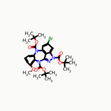 COc1cccc2c1N(C(=O)OC(C)(C)C)c1nn(C(=O)OC(C)(C)C)c3cc(Br)cc(c13)N2C(=O)OC(C)(C)C